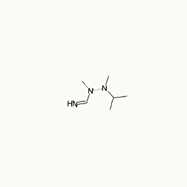 CC(C)N(C)N(C)C=N